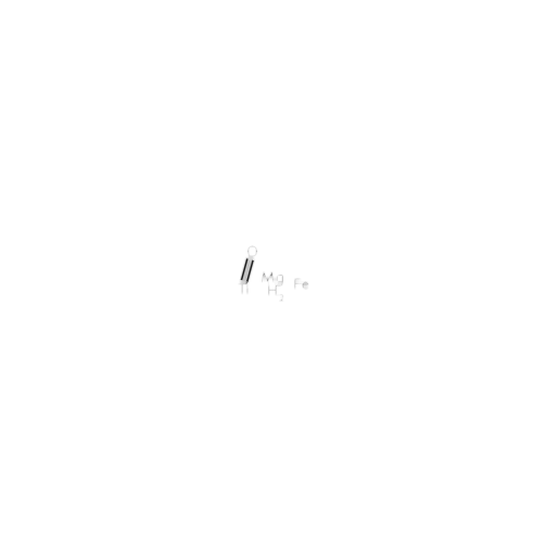 [Fe].[MgH2].[O]=[Ti]